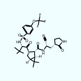 CC(C)(C)[C@H](NS(=O)(=O)c1ccc(OC(F)(F)F)cc1)C(=O)N1C[C@H]2[C@@H]([C@H]1C(=O)N[C@H](C#N)C[C@@H]1CCNC1=O)C2(C)C